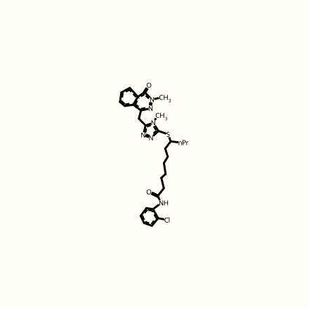 CCCC(CCCCCCC(=O)Nc1ccccc1Cl)Sc1nnc(Cc2nn(C)c(=O)c3ccccc23)n1C